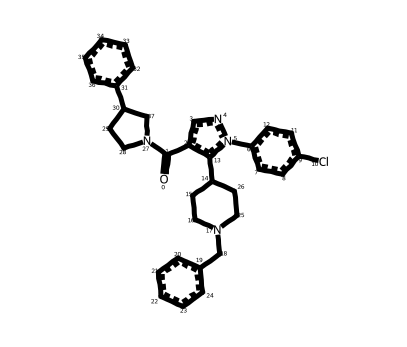 O=C(c1cnn(-c2ccc(Cl)cc2)c1C1CCN(Cc2ccccc2)CC1)N1CCC(c2ccccc2)C1